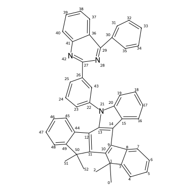 CC1(C)c2ccccc2-c2c1c1c(c3c2c2ccccc2n3-c2cccc(-c3nc(-c4ccccc4)c4ccccc4n3)c2)-c2ccccc2C1(C)C